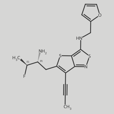 CC#Cc1c(C[C@@H](N)[C@H](C)F)sc2c(NCc3ccco3)snc12